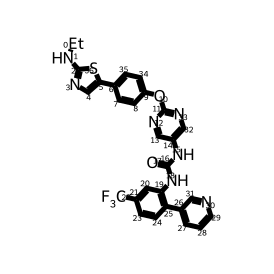 CCNc1ncc(-c2ccc(Oc3ncc(NC(=O)Nc4cc(C(F)(F)F)ccc4-c4cccnc4)cn3)cc2)s1